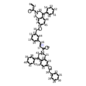 C=CC(=O)N1Cc2cc(OCc3cccc(/C=C/C(=O)N4Cc5cc(OCc6ccccc6)ccc5[C@@H](c5ccccc5)C4)c3)ccc2[C@H](c2ccccc2)C1